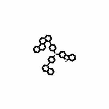 c1ccc2c(-c3ccc(N(c4ccc(-c5cccc6ccc7c8ccccc8ccc7c56)cc4)c4ccc5c(c4)oc4ccccc45)cc3)cccc2c1